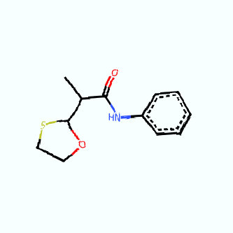 CC(C(=O)Nc1ccccc1)C1OCCS1